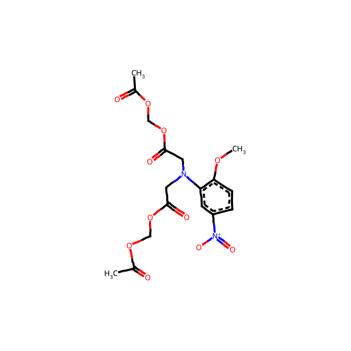 COc1ccc([N+](=O)[O-])cc1N(CC(=O)OCOC(C)=O)CC(=O)OCOC(C)=O